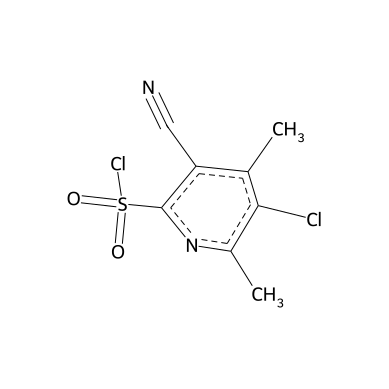 Cc1nc(S(=O)(=O)Cl)c(C#N)c(C)c1Cl